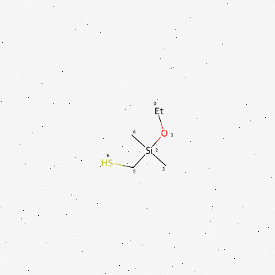 CCO[Si](C)(C)CS